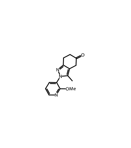 COc1ncccc1-n1nc2c(c1C)CC(=O)CC2